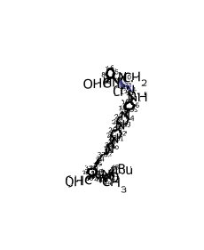 C=N/C(Nc1ccccc1C=O)=C(Cl)\C=N/CNc1ccc(N2CCN(C3CCN(C4CN(CCC#Cc5ccc(C=O)c(CN(C)NC(=O)CCCC)c5)C4)CC3)CC2)cc1